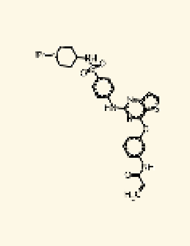 C=CC(=O)Nc1cccc(Oc2nc(Nc3ccc(S(=O)(=O)NC4CCN(C(C)C)CC4)cc3)nc3ccsc23)c1